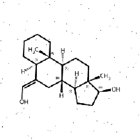 C[C@]12CCCC[C@@H]1C(=CO)C[C@@H]1[C@@H]2CC[C@]2(C)[C@@H](O)CC[C@@H]12